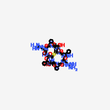 N=C(N)NCCC[C@H]1NC(=O)[C@@H](Cc2ccccc2)NC(=O)[C@@H]2C[C@@H](O)CN2C[C@@]2(C=O)N[C@](C=O)(CCc3c[nH]c4ccccc34)NC(=O)[C@@H](CCCNC(=N)N)NC(=O)[C@@H](Cc3ccccc3)NC(=O)[C@@H]3C[C@@H](O)CN3C(=O)[C@@H](NC(=O)[C@@H](Cc3c[nH]c4ccccc34)NC1=O)SS2